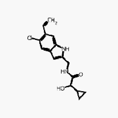 C=Cc1cc2[nH]c(CNC(=O)C(O)C3CC3)cc2cc1Cl